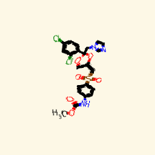 COC(=O)Nc1ccc(S(=O)(=O)CC2COC(Cn3ccnc3)(c3ccc(Cl)cc3Cl)O2)cc1